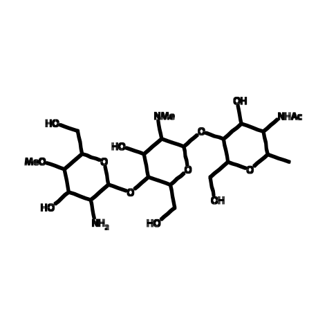 CNC1C(OC2C(CO)OC(C)C(NC(C)=O)C2O)OC(CO)C(OC2OC(CO)C(OC)C(O)C2N)C1O